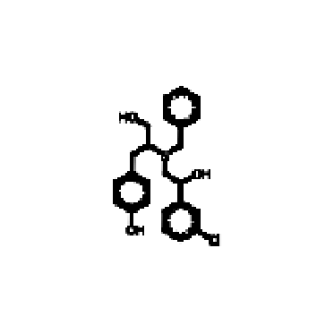 OC[C@H](Cc1ccc(O)cc1)N(Cc1ccccc1)C[C@@H](O)c1cccc(Cl)c1